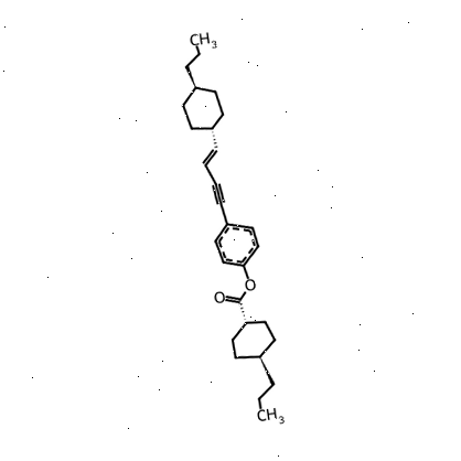 CCC[C@H]1CC[C@H](/C=C/C#Cc2ccc(OC(=O)[C@H]3CC[C@H](CCC)CC3)cc2)CC1